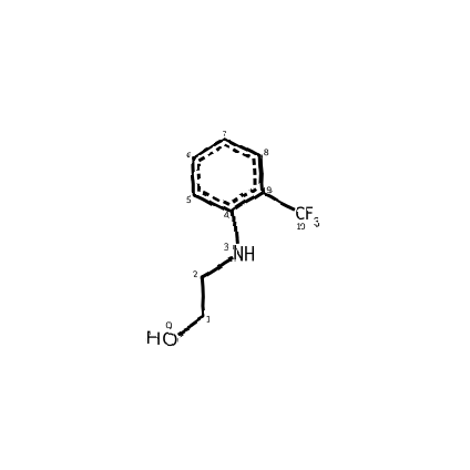 OCCNc1ccccc1C(F)(F)F